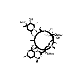 CC[C@H]1OC(=O)[C@H](C)[C@@H](O[C@H]2C[C@@](C)(OC)[C@@H](O)[C@H](C)O2)[C@H](C)[C@@H](O[C@@H]2O[C@H](C)C[C@H](N(C)C)[C@H]2OC(=O)[C@H](CSSC[C@H](NC(C)=O)C(=O)O)NC(C)=O)[C@](C)(O)C[C@@H](C)CN(C)[C@H](C)[C@@H](O)[C@]1(C)O